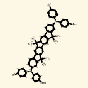 CC(C)(C)c1ccc(N(c2ccc(Br)cc2)c2ccc3c(c2)C(C)(C)c2cc4c(cc2-3)C(C)(C)c2cc3c(cc2-4)C(C)(C)c2cc(N(c4ccc(Br)cc4)c4ccc(C(C)(C)C)cc4)ccc2-3)cc1